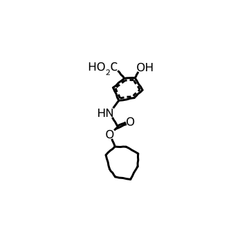 O=C(Nc1ccc(O)c(C(=O)O)c1)OC1CCCCCCC1